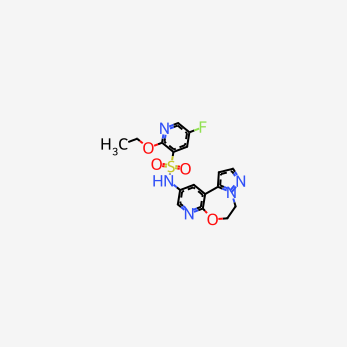 CCOc1ncc(F)cc1S(=O)(=O)Nc1cnc2c(c1)-c1ccnn1CCO2